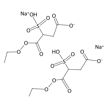 CCOOC(=O)C(CC(=O)[O-])S(=O)(=O)O.CCOOC(=O)C(CC(=O)[O-])S(=O)(=O)O.[Na+].[Na+]